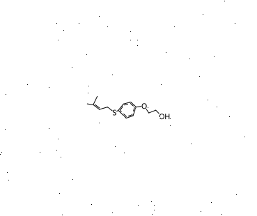 CC(C)=CCSc1ccc(OCCO)cc1